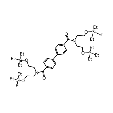 CC[Si](CC)(CC)OCCN(CCO[Si](CC)(CC)CC)C(=O)c1ccc(-c2ccc(C(=O)N(CCO[Si](CC)(CC)CC)CCO[Si](CC)(CC)CC)cc2)cc1